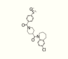 C[S+]([O-])c1ccc(C(=O)N2CCC(C(=O)N3CCCCc4cc(Cl)ccc43)CC2)cc1